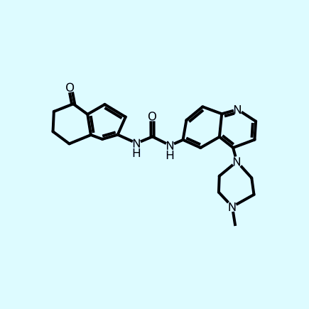 CN1CCN(c2ccnc3ccc(NC(=O)Nc4ccc5c(c4)CCCC5=O)cc23)CC1